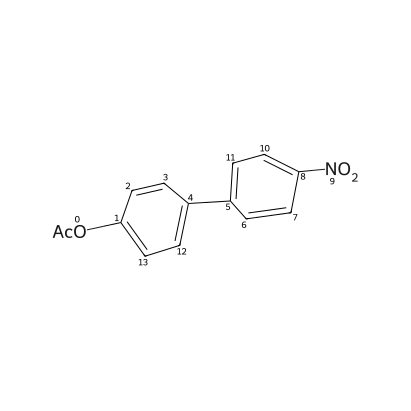 CC(=O)Oc1ccc(-c2ccc([N+](=O)[O-])cc2)cc1